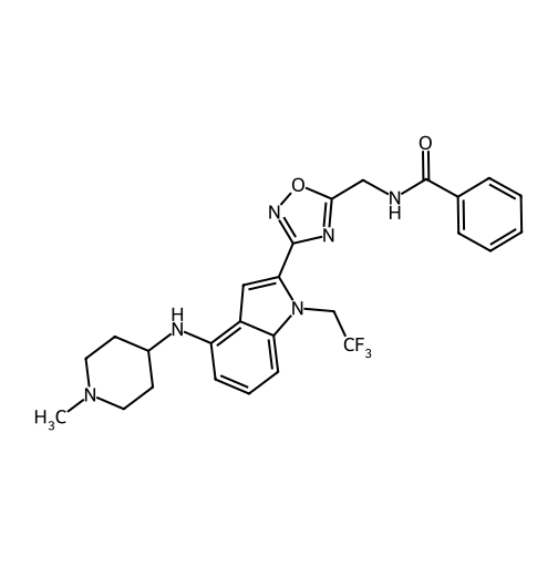 CN1CCC(Nc2cccc3c2cc(-c2noc(CNC(=O)c4ccccc4)n2)n3CC(F)(F)F)CC1